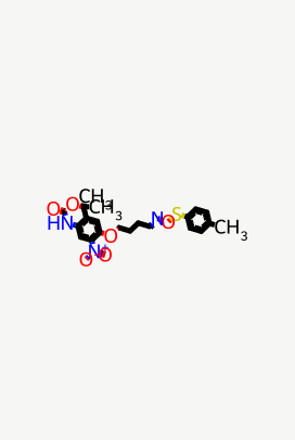 Cc1ccc(SON=CCCCOc2cc3c(cc2[N+](=O)[O-])NC(=O)OC3(C)C)cc1